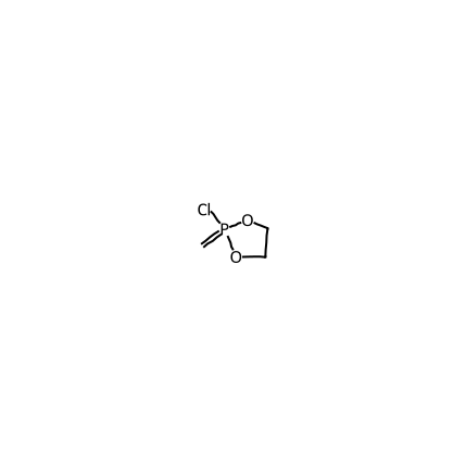 C=P1(Cl)OCCO1